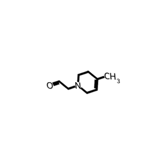 CC1=CCN(CC=O)CC1